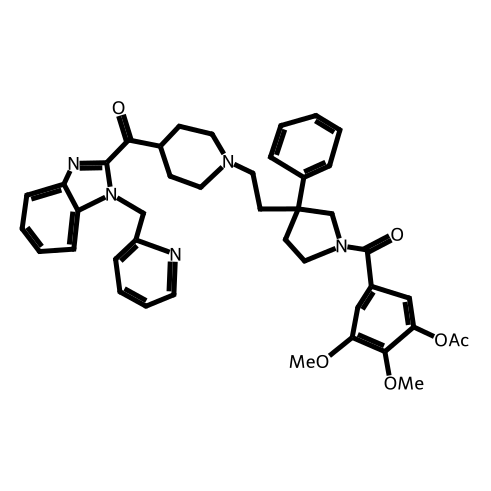 COc1cc(C(=O)N2CCC(CCN3CCC(C(=O)c4nc5ccccc5n4Cc4ccccn4)CC3)(c3ccccc3)C2)cc(OC(C)=O)c1OC